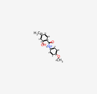 COc1ccc(NC(=O)c2ccc(C)cc2O)cc1